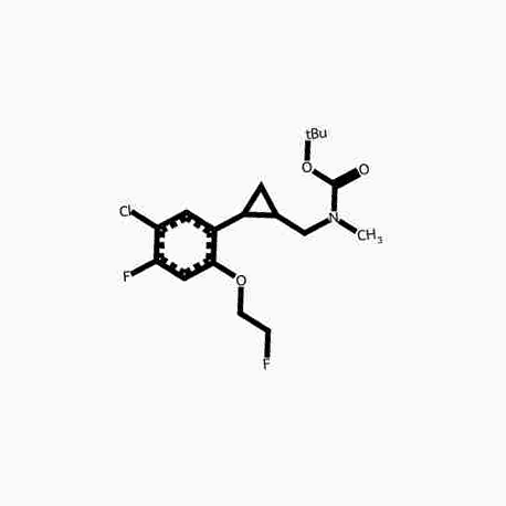 CN(CC1CC1c1cc(Cl)c(F)cc1OCCF)C(=O)OC(C)(C)C